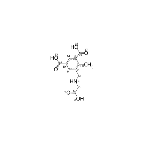 Cc1c(CNCC(=O)O)cc(C(=O)O)cc1C(=O)O